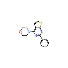 c1ccc(-c2nc(N3CCOCC3)c3ccsc3n2)cc1